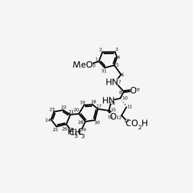 COc1cccc(CNC(=O)[C@H](CCC(=O)O)NC(=O)c2ccc(-c3ccccc3C)c(C)c2)c1